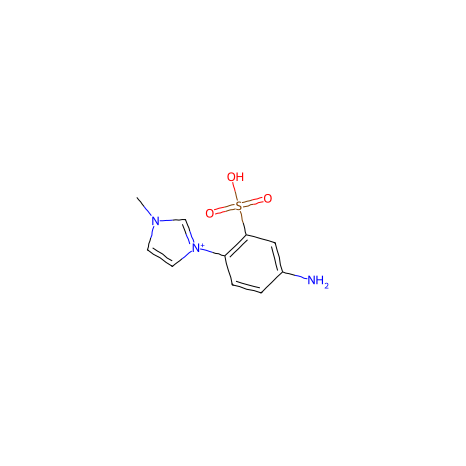 Cn1cc[n+](-c2ccc(N)cc2S(=O)(=O)O)c1